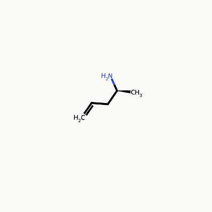 C=CC[C@H](C)N